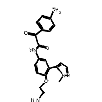 Cn1nccc1-c1cc(NC(=O)C(=O)c2ccc(N)cc2)ccc1OCCN